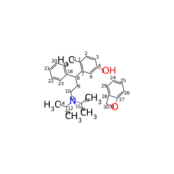 Cc1ccc(O)cc1C(CCN(C(C)C)C(C)C)c1ccccc1.c1ccc2c(c1)CO2